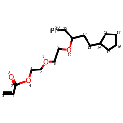 C=CC(=O)OCCOCCOC(CCC1CCCC1)CC(C)C